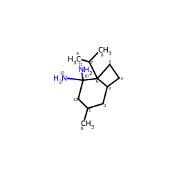 CC1CC2CCC2(C(C)C)C(N)(N)C1